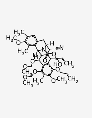 C=CCOC(=O)N1[C@@H]2c3c(cc(C)c(OC)c3C)C[C@H]1[C@H](C#N)N1[C@H]2[C@H](OCOC)c2c(OCOC)c(C)c(OC)c(OCC=C)c2[C@@H]1CO